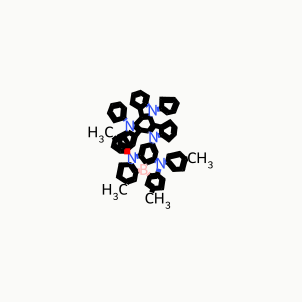 Cc1ccc(N2c3ccc(C)cc3B3c4cc(C)ccc4N(c4ccc(C)cc4)c4cc(-n5c6ccccc6c6c7c(c8ccccc8n7-c7ccccc7)c7c(c8ccccc8n7-c7ccccc7)c65)cc2c43)cc1